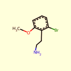 COc1cccc(Br)c1CCN